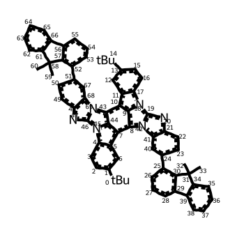 CC(C)(C)c1ccc2c(c1)c1c3c4c(c5cc(C(C)(C)C)ccc5n4c4nc5ccc(-c6cccc7c6C(C)(C)c6ccccc6-7)cc5n34)c3c1n2c1nc2ccc(-c4cccc5c4C(C)(C)c4ccccc4-5)cc2n31